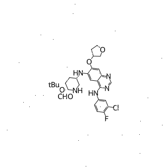 CC(C)(C)OC=O.Fc1ccc(Nc2ncnc3cc(OC4CCOC4)c(NC4CCCNC4)cc23)cc1Cl